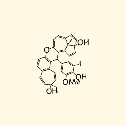 COc1cc(C2C3=C4C=CC5(O)C=CC(=CC=C3Oc3ccc6c(c32)C=CC(C)(O)C=C6)C45C)cc(I)c1O